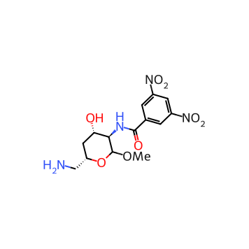 COC1O[C@H](CN)C[C@H](O)[C@H]1NC(=O)c1cc([N+](=O)[O-])cc([N+](=O)[O-])c1